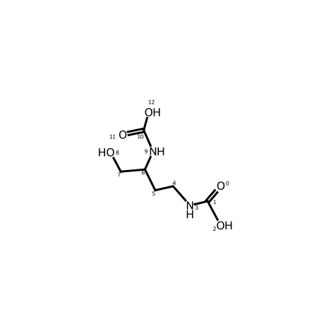 O=C(O)NCCC(CO)NC(=O)O